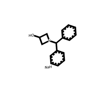 OC1CN(C(c2ccccc2)c2ccccc2)C1.[NaH]